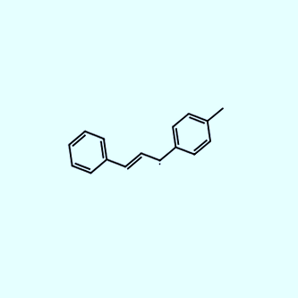 Cc1ccc([CH]C=Cc2ccccc2)cc1